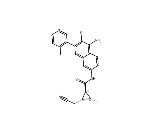 Cc1ccncc1-c1cc2cc(NC(=O)[C@H]3[C@H](C)[C@@H]3CC#N)ncc2c(N)c1F